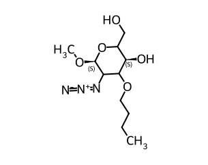 CCCCOC1C(N=[N+]=[N-])[C@@H](OC)OC(CO)[C@H]1O